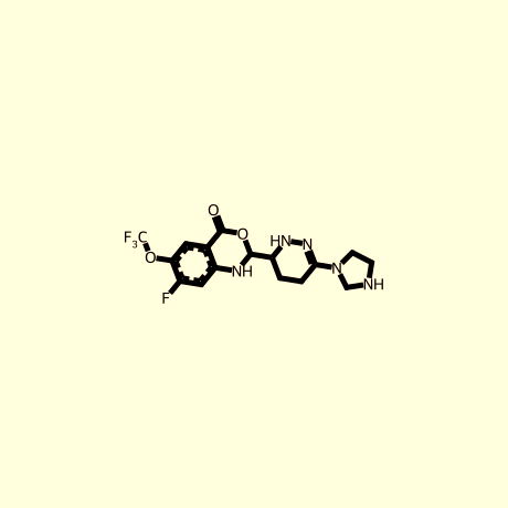 O=C1OC(C2CCC(N3CCNC3)=NN2)Nc2cc(F)c(OC(F)(F)F)cc21